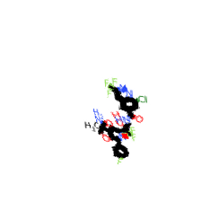 C[C@]1(C(N)=O)COc2c1cc([C@@](O)(CNC(=O)c1cc(Cl)c3nnc(C(F)(F)F)cc3c1)C(F)(F)F)nc2-c1ccc(F)cc1